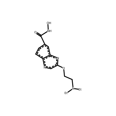 CCN(CC)CCOc1cnc2ccc(C(=O)NO)cc2n1